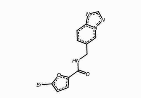 O=C(NCc1ccc2ncnn2c1)c1ccc(Br)o1